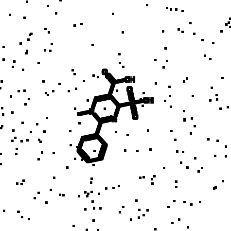 CN1C=C(C(=O)O)C(S(=O)(=O)O)N=C1c1ccccc1